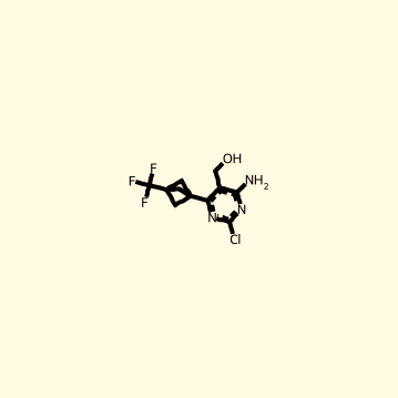 Nc1nc(Cl)nc(C23CC(C(F)(F)F)(C2)C3)c1CO